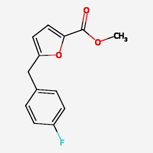 COC(=O)c1ccc(Cc2ccc(F)cc2)o1